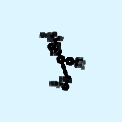 COC(=O)NC(C(=O)N1CCCC1c1ncc(-c2ccc(C#CC#Cc3cnc(C4CCCN4C(=O)O)[nH]3)c(-c3ccc(N(C)C)cc3)c2)[nH]1)C(C)C